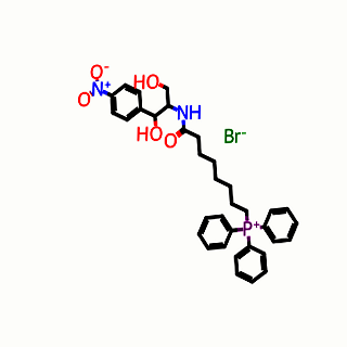 O=C(CCCCCCC[P+](c1ccccc1)(c1ccccc1)c1ccccc1)NC(CO)C(O)c1ccc([N+](=O)[O-])cc1.[Br-]